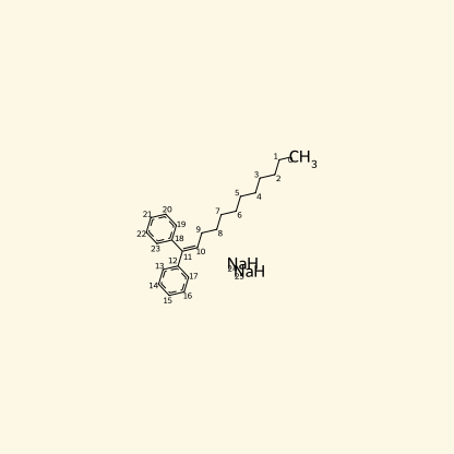 CCCCCCCCCCC=C(c1ccccc1)c1ccccc1.[NaH].[NaH]